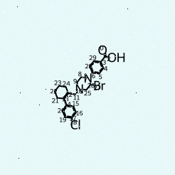 O=C(O)c1ccc(N2CCN(CC3=C(c4ccc(Cl)cc4)CCCC3)C[C@@H]2Br)cc1